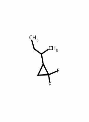 CCC(C)C1CC1(F)F